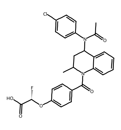 CC(=O)N(c1ccc(Cl)cc1)C1CC(C)N(C(=O)c2ccc(O[C@@H](F)C(=O)O)cc2)c2ccccc21